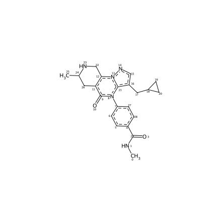 CNC(=O)c1ccc(-n2c(=O)c3c(n4ncc(CC5CC5)c24)CNC(C)C3)cc1